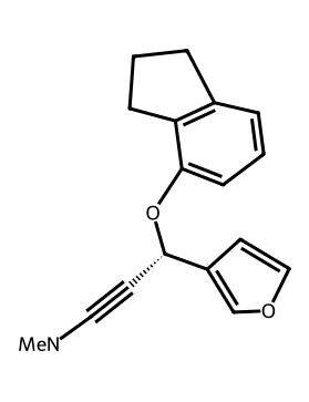 CNC#C[C@H](Oc1cccc2c1CCC2)c1ccoc1